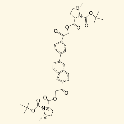 C[C@H]1CCC(C(=O)OCC(=O)c2ccc(-c3ccc4cc(C(=O)COC(=O)[C@@H]5CC[C@H](C)N5C(=O)OC(C)(C)C)ccc4c3)cc2)N1C(=O)OC(C)(C)C